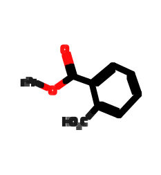 [CH2]CCOC(=O)c1ccccc1C(=O)O